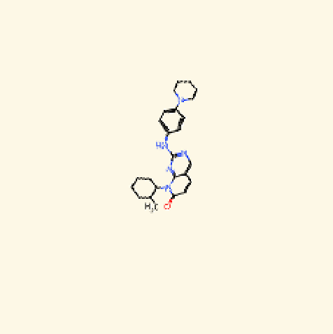 CC1CCCCC1n1c(=O)ccc2cnc(Nc3ccc(N4CCCCC4)cc3)nc21